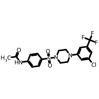 CC(=O)Nc1ccc(S(=O)(=O)N2CCN(c3cc(Cl)cc(C(F)(F)F)c3)CC2)cc1